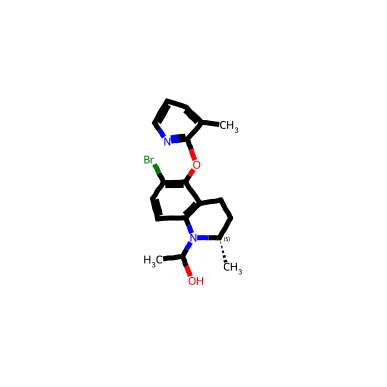 Cc1cccnc1Oc1c(Br)ccc2c1CC[C@H](C)N2C(C)O